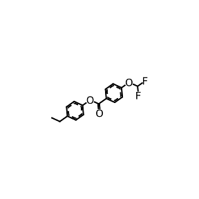 CCc1ccc(OC(=O)c2ccc(OC(F)F)cc2)cc1